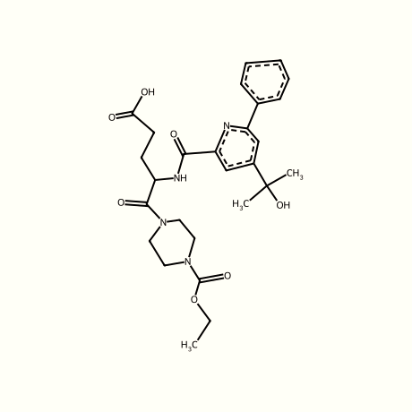 CCOC(=O)N1CCN(C(=O)C(CCC(=O)O)NC(=O)c2cc(C(C)(C)O)cc(-c3ccccc3)n2)CC1